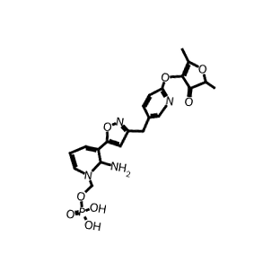 CC1=C(Oc2ccc(Cc3cc(C4=CC=CN(COP(=O)(O)O)C4N)on3)cn2)C(=O)C(C)O1